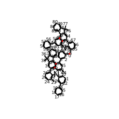 Cc1cc(-c2ccc(N(c3cccc(-c4ccccc4)c3)c3c(C)cccc3-c3ccc4c(c3)C(C)(C)c3ccccc3-4)c(C)c2)ccc1N(c1cccc(-c2ccccc2)c1)c1c(C)cccc1-c1ccc2c(c1)C(C)(C)c1ccccc1-2